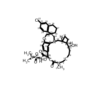 CN1CCCC[C@H](O)[C@@H]2CC[C@H]2CN2C[C@@]3(CCCc4cc(Cl)ccc43)COc3ccc(cc32)[C@@](O)(C(=O)NS(=O)(=O)N(C)C)CC1=O